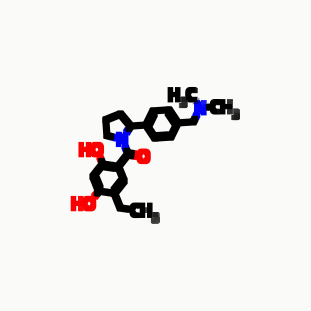 CCc1cc(C(=O)N2CCCC2c2ccc(CN(C)C)cc2)c(O)cc1O